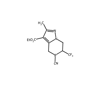 CCOC(=O)c1c(C)nn2c1CB(C#N)C(C(F)(F)F)C2